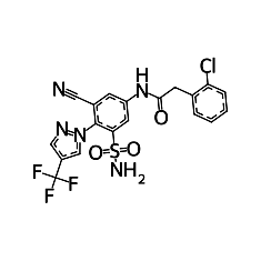 N#Cc1cc(NC(=O)Cc2ccccc2Cl)cc(S(N)(=O)=O)c1-n1cc(C(F)(F)F)cn1